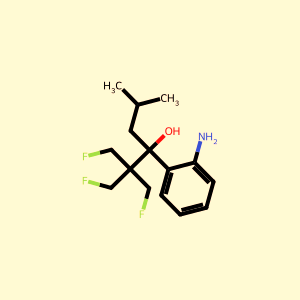 CC(C)CC(O)(c1ccccc1N)C(CF)(CF)CF